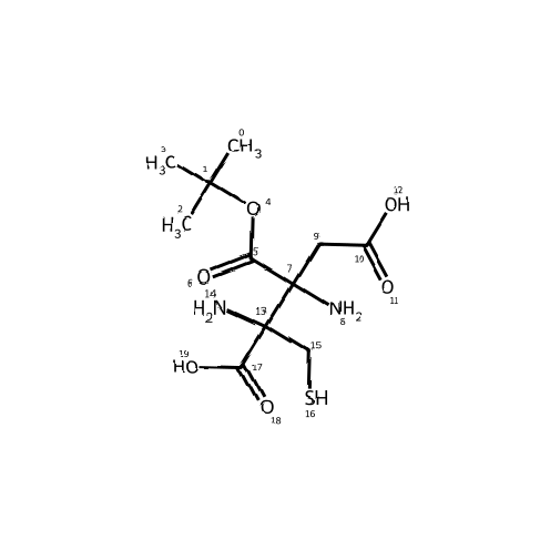 CC(C)(C)OC(=O)C(N)(CC(=O)O)C(N)(CS)C(=O)O